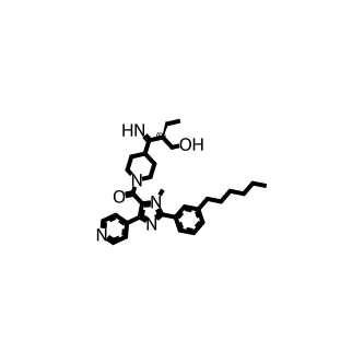 CCCCCCc1cccc(-c2nc(-c3ccncc3)c(C(=O)N3CCC(C(=N)[C@@H](CC)CO)CC3)n2C)c1